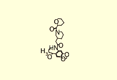 CC(=O)c1cc2c(cc1NC(=O)CC1CCCN(C(=O)C3CCCCO3)C1)OCO2